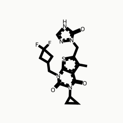 Cc1c(Cn2nc[nH]c2=O)sc2c1c(=O)n(C1CC1)c(=O)n2CC1CC(F)(F)C1